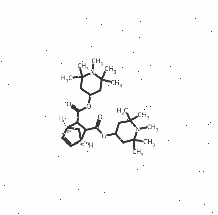 CN1C(C)(C)CC(OC(=O)C2C(C(=O)OC3CC(C)(C)N(C)C(C)(C)C3)[C@H]3C=C[C@@H]2C3)CC1(C)C